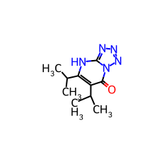 CC(C)c1[nH]c2nnnn2c(=O)c1C(C)C